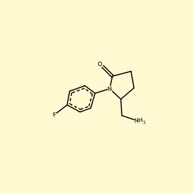 NCC1CCC(=O)N1c1ccc(F)cc1